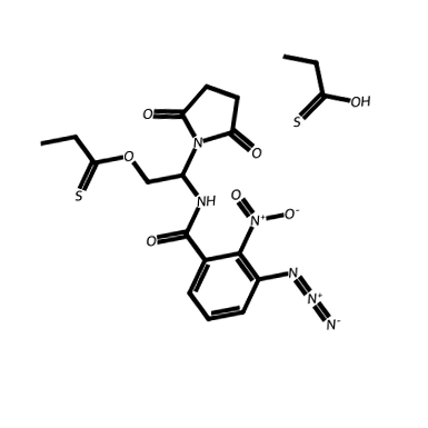 CCC(=S)OCC(NC(=O)c1cccc(N=[N+]=[N-])c1[N+](=O)[O-])N1C(=O)CCC1=O.CCC(O)=S